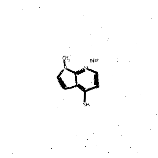 Cn1ccc2c(S)ccnc21.[Na]